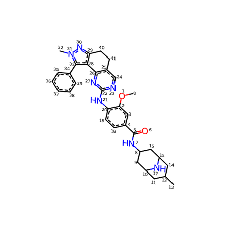 COc1cc(C(=O)NC2CC3CC(C)CC(C2)N3)ccc1Nc1ncc2c(n1)-c1c(nn(C)c1-c1ccccc1)CC2